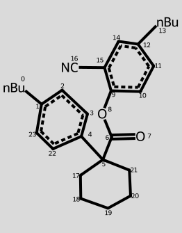 CCCCc1ccc(C2(C(=O)Oc3ccc(CCCC)cc3C#N)CCCCC2)cc1